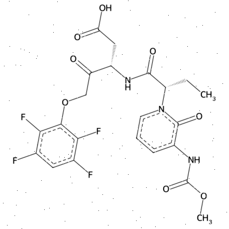 CC[C@@H](C(=O)N[C@@H](CC(=O)O)C(=O)COc1c(F)c(F)cc(F)c1F)n1cccc(NC(=O)OC)c1=O